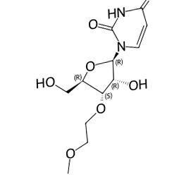 COCCO[C@H]1[C@@H](O)[C@H](n2ccc(=O)[nH]c2=O)O[C@@H]1CO